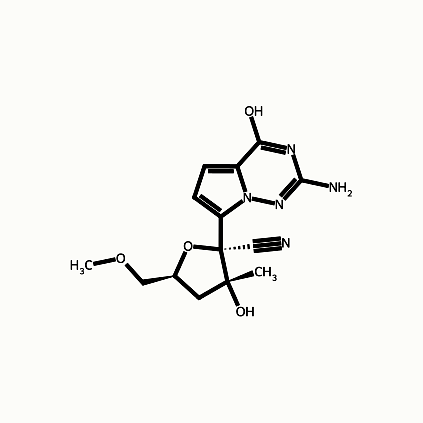 COC[C@@H]1C[C@@](C)(O)[C@](C#N)(c2ccc3c(O)nc(N)nn23)O1